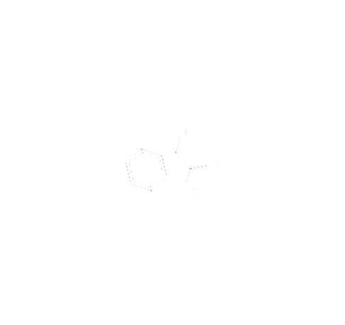 CCOC(=O)C(CO)C(=O)O.c1ccccc1